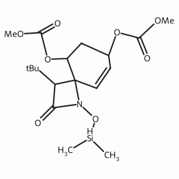 COC(=O)OC1C=CC2(C(OC(=O)OC)C1)C(C(C)(C)C)C(=O)N2O[SiH](C)C